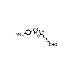 COc1ccc(-c2csc(NC(=O)CCCCCC=O)n2)cc1